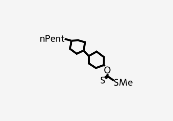 CCCCCC1CCC(C2CCC(OC(=S)SC)CC2)CC1